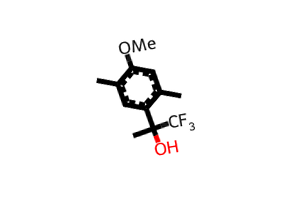 COc1cc(C)c(C(C)(O)C(F)(F)F)cc1C